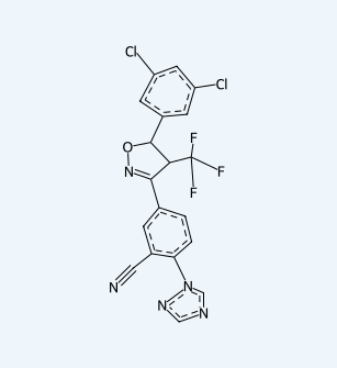 N#Cc1cc(C2=NOC(c3cc(Cl)cc(Cl)c3)C2C(F)(F)F)ccc1-n1cncn1